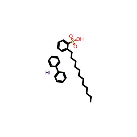 CCCCCCCCCCCCc1ccccc1S(=O)(=O)O.I.c1ccc(-c2ccccc2)cc1